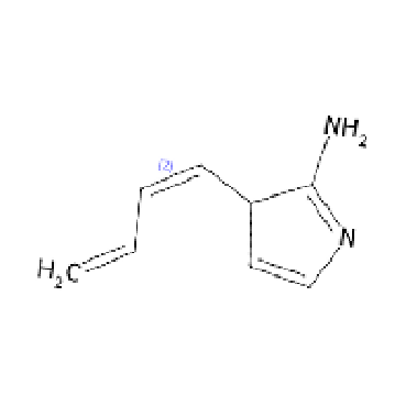 C=C/C=C\C1C=CN=C1N